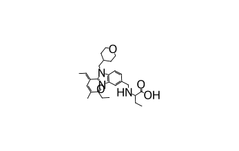 C/C=C(\C=C(\C)C(=O)CC)c1nc2cc(CNC(CC)C(=O)O)ccc2n1CC1CCOCC1